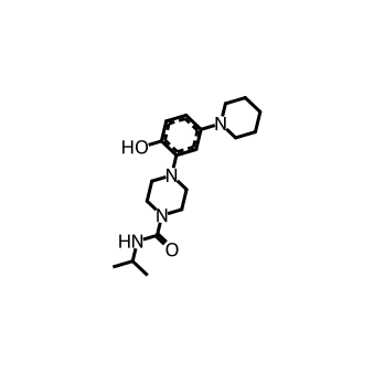 CC(C)NC(=O)N1CCN(c2cc(N3CCCCC3)ccc2O)CC1